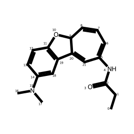 CCC(=O)NC1=CC=CC2Oc3ccc(N(C)C)cc3C2=C1